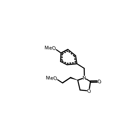 COCC[C@@H]1COC(=O)N1Cc1ccc(OC)cc1